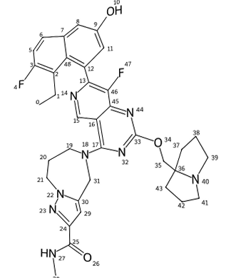 CCc1c(F)ccc2cc(O)cc(-c3ncc4c(N5CCCn6nc(C(=O)NC)cc6C5)nc(OCC56CCCN5CCC6)nc4c3F)c12